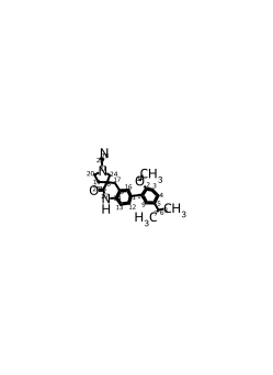 COc1ccc(C(C)C)cc1-c1ccc2c(c1)CC1(CCN(C#N)C1)C(=O)N2